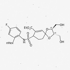 CCCCCCc1cc(F)ccc1NS(=O)(=O)C1CCC2(C=C1C(=O)OCC)O[C@@H](CO)[C@H](CO)O2